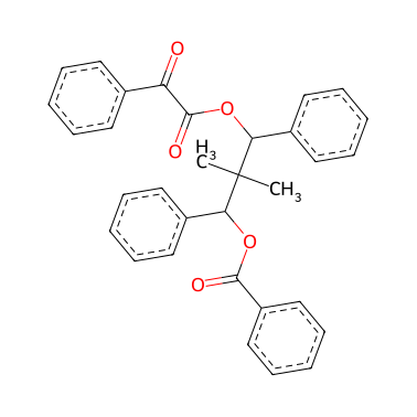 CC(C)(C(OC(=O)C(=O)c1ccccc1)c1ccccc1)C(OC(=O)c1ccccc1)c1ccccc1